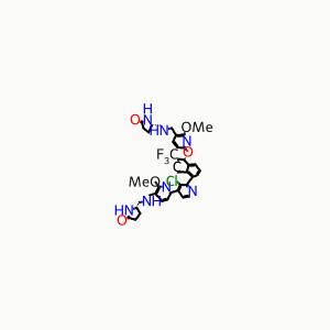 COc1nc(-c2ccnc(-c3cccc4c3CCC[C@@H]4Oc3nc(OC)c(CNC[C@@H]4CCC(=O)N4)cc3C(F)(F)F)c2Cl)ccc1CNC[C@@H]1CCC(=O)N1